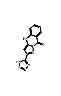 O=c1c2ccccc2[nH]c2cc(-c3nnn[nH]3)nn12